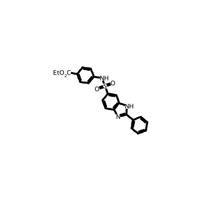 CCOC(=O)c1ccc(NS(=O)(=O)c2ccc3nc(-c4ccccc4)[nH]c3c2)cc1